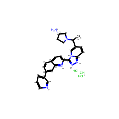 Cl.Cl.Cl.N[C@H]1CCN(C(c2ccc3nnc(-c4ccc5ccc(-c6cccnc6)cc5n4)n3c2)C(F)(F)F)C1